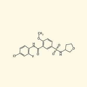 COc1ccc(S(=O)(=O)NC2CCOC2)cc1C(=O)Nc1ccc(Cl)cc1F